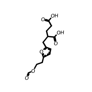 O=COCCc1ccc(CC(CCC(=O)O)C(=O)O)o1